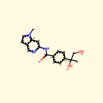 Cn1ccc2cnc(NC(=O)c3ccc(C(C)(O)CO)cc3)cc21